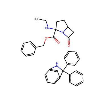 CCNC1(C(=O)OCc2ccccc2)CCC2CC(=O)N21.c1ccc(C2(c3ccccc3)Nc3cccc2c3)cc1